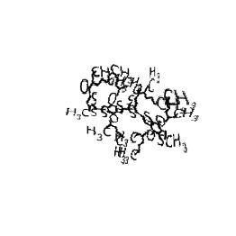 CCCCC(CC)COc1c2cc(-c3sc(-c4cc5c(OCC(CC)CCCC)c6sc(-c7sc(C)c8cc(C(=O)C(CC)CCCC)sc78)cc6c(OCC(CC)CCCC)c5s4)c4sc(C(=O)C(CC)CCCC)cc34)sc2c(OCC(CC)CCCC)c2cc(C)sc12